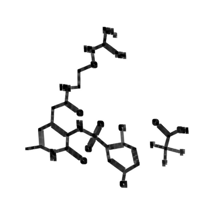 Cc1cc(CC(=O)NCCONC(=N)N)c(NS(=O)(=O)c2cc(Cl)ccc2Cl)c(=O)[nH]1.O=C(O)C(F)(F)F